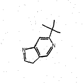 CC(C)(C)c1cc2c(cn1)CC=N2